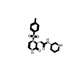 Cc1ccc(S(=O)(=O)N2C=CNC(=O)[C@H]2CC(=O)N[C@H]2CCCNC2)cc1